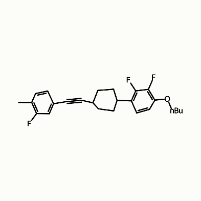 CCCCOc1ccc(C2CCC(C#Cc3ccc(C)c(F)c3)CC2)c(F)c1F